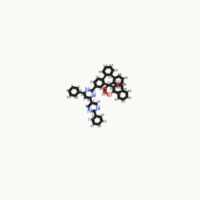 c1ccc(-c2cc(-c3cnc(-c4ccccc4)nc3)nc(-c3ccc4c(c3)C3(c5ccccc5Oc5c3ccc3ccccc53)c3ccccc3-c3ccccc3-4)n2)cc1